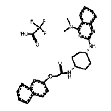 CN(C)c1nc(N[C@H]2CC[C@@H](NC(=O)COc3ccc4ccccc4c3)CC2)nc2ccccc12.O=C(O)C(F)(F)F